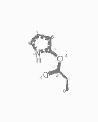 CCC(=O)Oc1ccc[nH]1